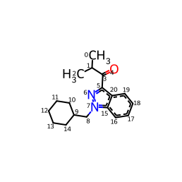 CC(C)C(=O)c1nn(CC2CCCCC2)c2ccccc12